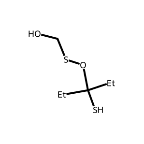 CCC(S)(CC)OSCO